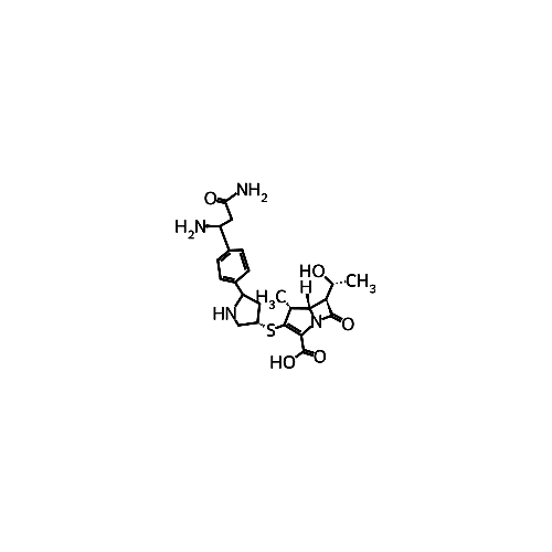 C[C@@H](O)[C@H]1C(=O)N2C(C(=O)O)=C(S[C@@H]3CNC(c4ccc([C@@H](N)CC(N)=O)cc4)C3)[C@H](C)[C@H]12